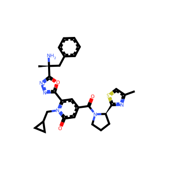 Cc1csc([C@H]2CCCN2C(=O)c2cc(-c3nnc([C@](C)(N)Cc4ccccc4)o3)n(CC3CC3)c(=O)c2)n1